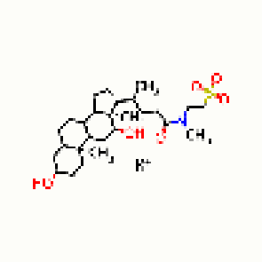 C[C@H](CCC(=O)N(C)CCS(=O)(=O)[O-])[C@H]1CCC2C3CCC4C[C@H](O)CC[C@]4(C)C3C[C@H](O)[C@@]21C.[K+]